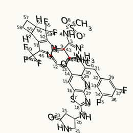 Cn1nc(NS(C)(=O)=O)c2cccc(-c3cc4sc(NC5CNC(=O)C5)nc4nc3C(Cc3cc(F)cc(F)c3)NC(=O)Cn3nc(C(F)(F)F)c4c3C(F)(F)[C@@H]3CC[C@H]43)c21